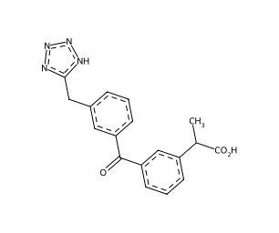 CC(C(=O)O)c1cccc(C(=O)c2cccc(Cc3nnn[nH]3)c2)c1